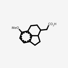 COc1ccc2c3c1CCC(CC(=O)O)C3CC2